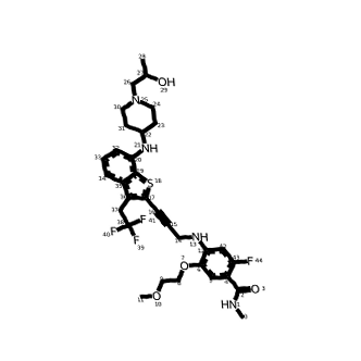 CNC(=O)c1cc(OCCOC)c(NCC#Cc2sc3c(NC4CCN(CC(C)O)CC4)cccc3c2CC(F)(F)F)cc1F